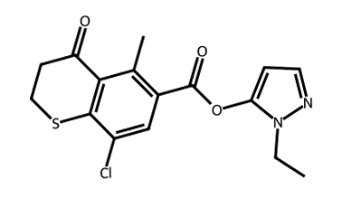 CCn1nccc1OC(=O)c1cc(Cl)c2c(c1C)C(=O)CCS2